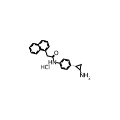 Cl.N[C@@H]1C[C@H]1c1ccc(NC(=O)Cc2cccc3ccccc23)cc1